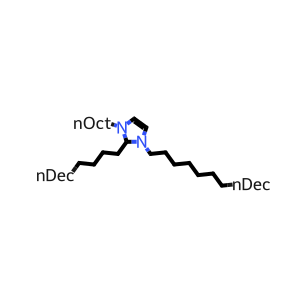 CCCCCCCCCCCCCCCCCN1C=CN(CCCCCCCC)C1CCCCCCCCCCCCCC